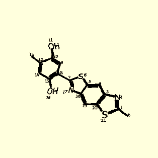 Cc1nc2cc3sc(-c4cc(O)c(C)cc4O)nc3cc2s1